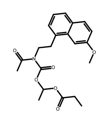 CCC(=O)OC(C)OC(=O)N(CCc1cccc2ccc(OC)cc12)C(C)=O